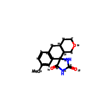 COc1ccc2c(c1)C1(NC(=O)NC1=O)C1COCCC1C2